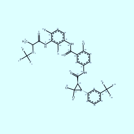 CC(OC(F)(F)F)C(=O)Nc1c(F)ccc(NC(=O)c2cc(NC(=O)[C@H]3[C@H](c4cccc(C(F)(F)F)c4)C3(Cl)Cl)ccc2Cl)c1F